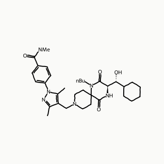 CCCCN1C(=O)[C@@H]([C@H](O)C2CCCCC2)NC(=O)C12CCN(Cc1c(C)nn(-c3ccc(C(=O)NC)cc3)c1C)CC2